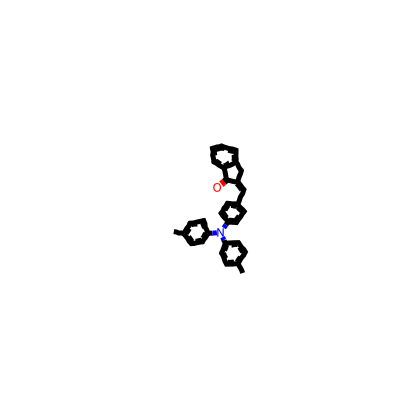 Cc1ccc(N(c2ccc(C)cc2)c2ccc(C=C3Cc4ccccc4C3=O)cc2)cc1